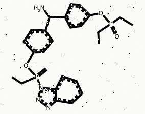 C=P(CC)(Oc1ccc(C(N)c2ccc(OP(=O)(CC)CC)cc2)cc1)n1nnc2ccccc21